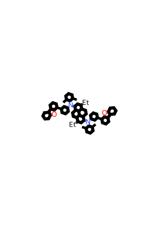 CCc1cc(N(c2cccc(-c3cccc4c3oc3ccccc34)c2)c2c(C)cccc2C)c2ccc3c(CC)cc(N(c4cccc(-c5cccc6c5oc5ccccc56)c4)c4c(C)cccc4C)c4ccc1c2c34